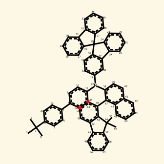 CC(C)(C)c1ccc(-c2ccc(N(c3ccc4c(c3)-c3ccccc3C43c4ccccc4-c4ccccc43)c3ccc4ccccc4c3-c3cccc4c3C(C)(C)c3ccccc3-4)cc2)cc1